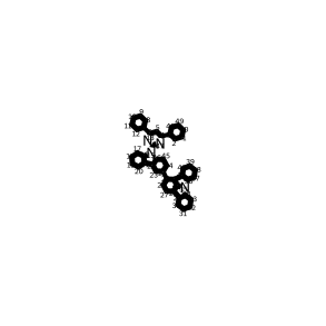 c1ccc(-c2cc(-c3ccccc3)nc(-n3c4ccccc4c4cc(-c5ccc6c7ccccc7n7c8ccccc8c5c67)ccc43)n2)cc1